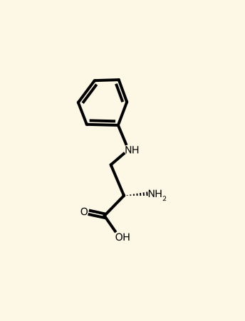 N[C@@H](CNc1ccccc1)C(=O)O